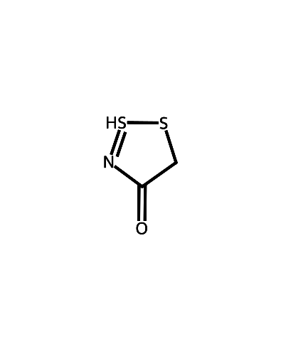 O=C1CS[SH]=N1